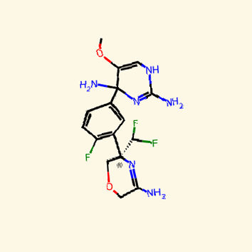 COC1=CNC(N)=NC1(N)c1ccc(F)c([C@]2(C(F)F)COCC(N)=N2)c1